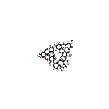 CC[Si]1(CC)c2cccc(-c3c(C)c(C)c(N(c4c(C)cc(C)cc4C)c4c(C)cc(C)cc4C)c(C)c3C)c2C=Cc2c(-c3c(C)c(C)c(N(c4c(C)cc(C)cc4C)c4c(C)cc(C)cc4C)c(C)c3C)cccc21